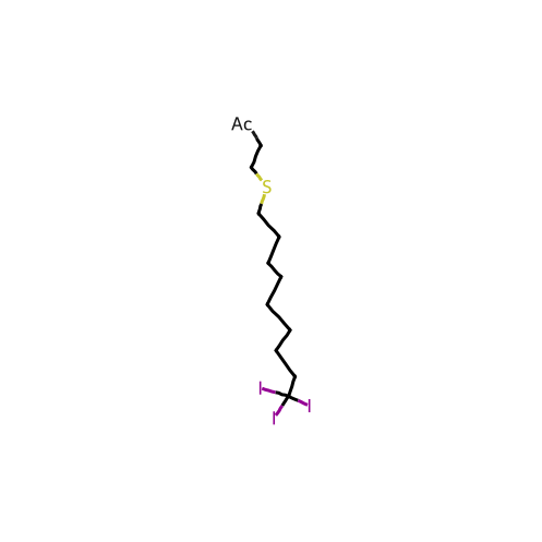 CC(=O)CCSCCCCCCCCC(I)(I)I